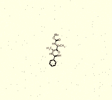 C[C@H](NC(=O)OC(C)(C)C)C(=O)N(C)NC(=N)c1ccccc1